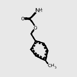 Cc1ccc(COC([NH])=O)cc1